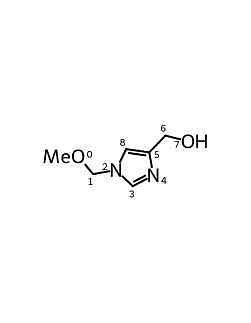 COCn1cnc(CO)c1